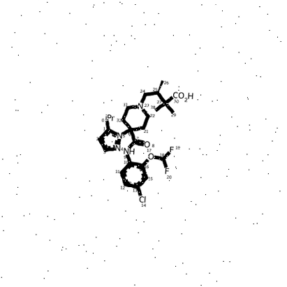 CC(C)c1ccnn1C1(C(=O)Nc2ccc(Cl)cc2OC(F)F)CCN(C[C@@H](C)C(C)(C)C(=O)O)CC1